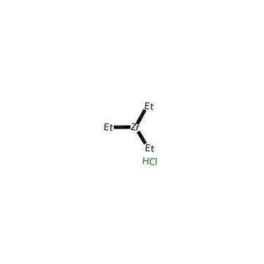 C[CH2][Zr]([CH2]C)[CH2]C.Cl